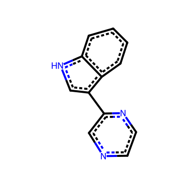 c1ccc2c(-c3cnccn3)c[nH]c2c1